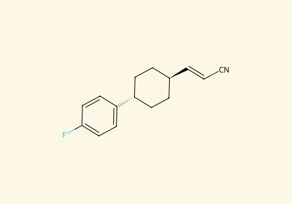 N#C/C=C/[C@H]1CC[C@H](c2ccc(F)cc2)CC1